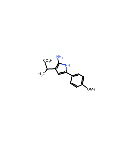 COc1ccc(-c2cc(C(C)C(=O)O)c(N)[nH]2)cc1